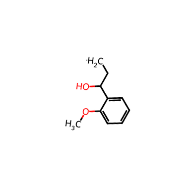 [CH2]CC(O)c1ccccc1OC